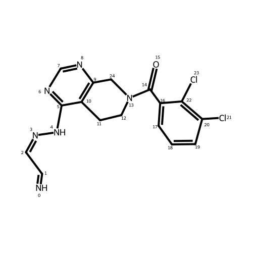 N=C/C=N\Nc1ncnc2c1CCN(C(=O)c1cccc(Cl)c1Cl)C2